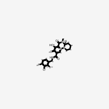 CN1C(=O)c2c(O)c(=O)c(C(=O)NCc3ccc(F)c(Cl)c3F)cn2N2CCCC[C@@H]12